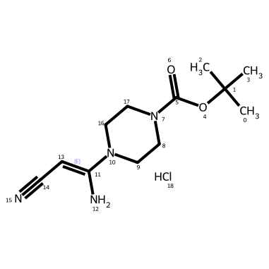 CC(C)(C)OC(=O)N1CCN(/C(N)=C/C#N)CC1.Cl